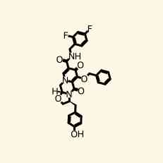 O=C(NCc1ccc(F)cc1F)c1cn2c(c(OCc3ccccc3)c1=O)C(=O)N1[C@@H](Cc3ccc(O)cc3)CO[C@@H]1C2